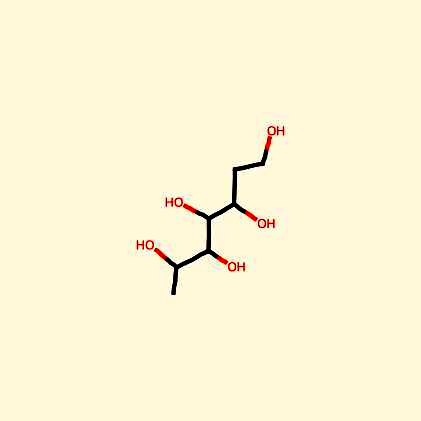 CC(O)C(O)C(O)C(O)CCO